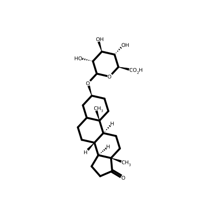 C[C@]12CC[C@H](OC3O[C@H](C(=O)O)[C@@H](O)[C@H](O)[C@H]3O)CC1CC[C@@H]1[C@@H]2CC[C@]2(C)C(=O)CC[C@@H]12